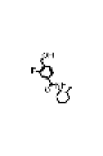 CC1CCCCC1NC(=O)c1ccc(CO)c(F)c1